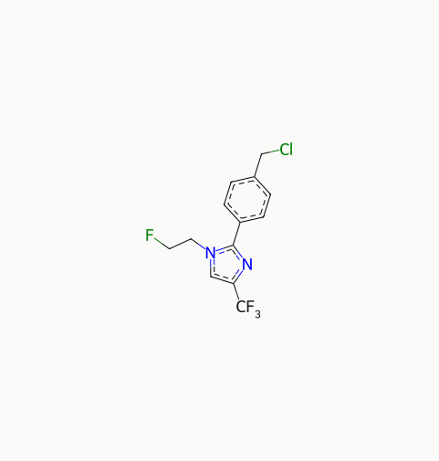 FCCn1cc(C(F)(F)F)nc1-c1ccc(CCl)cc1